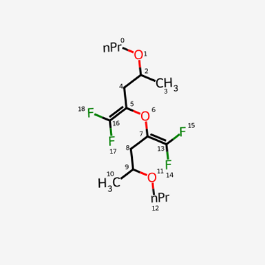 CCCOC(C)CC(OC(CC(C)OCCC)=C(F)F)=C(F)F